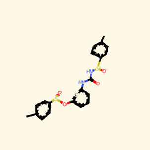 Cc1ccc(S(=O)Oc2cccc(NC(=O)N[S+]([O-])c3ccc(C)cc3)c2)cc1